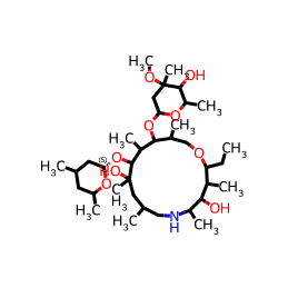 CCC1OCC(C)C(OC2CC(C)(OC)C(O)C(C)O2)C(C)C(O[C@H]2CC(C)CC(C)O2)C(C)(O)CC(C)CNC(C)C(O)C1C